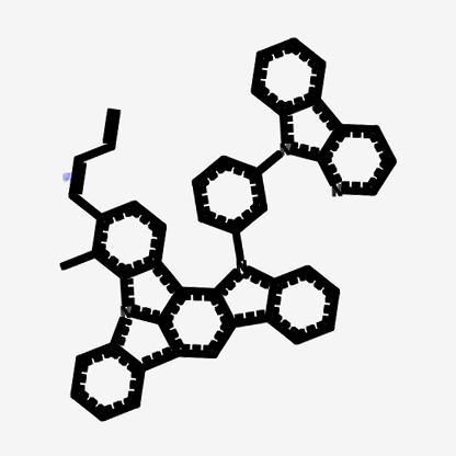 C=C/C=C\c1ccc2c3c4c(cc5c6ccccc6n(c2c1C)c53)c1ccccc1n4-c1cccc(-n2c3ccccc3c3cccnc32)c1